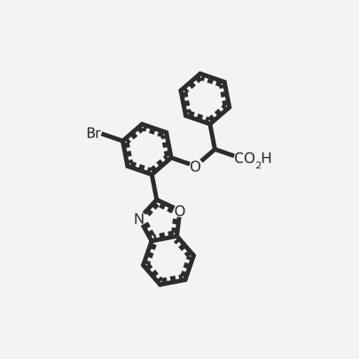 O=C(O)C(Oc1ccc(Br)cc1-c1nc2ccccc2o1)c1ccccc1